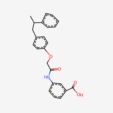 CC(Cc1ccc(OCC(=O)Nc2cccc(C(=O)O)c2)cc1)c1ccccc1